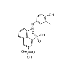 Cc1cc(N=Nc2cccc3cc(S(=O)(=O)O)cc(S(=O)(=O)O)c23)ccc1O